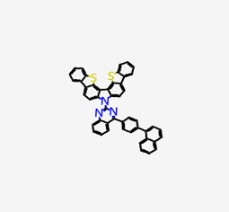 c1ccc2c(-c3ccc(-c4nc(-n5c6ccc7c8ccccc8sc7c6c6c7sc8ccccc8c7ccc65)nc5ccccc45)cc3)cccc2c1